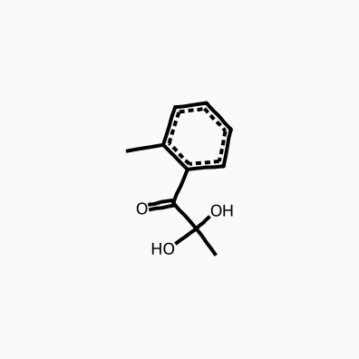 Cc1ccccc1C(=O)C(C)(O)O